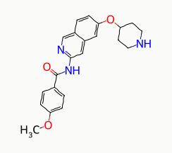 COc1ccc(C(=O)Nc2cc3cc(OC4CCNCC4)ccc3cn2)cc1